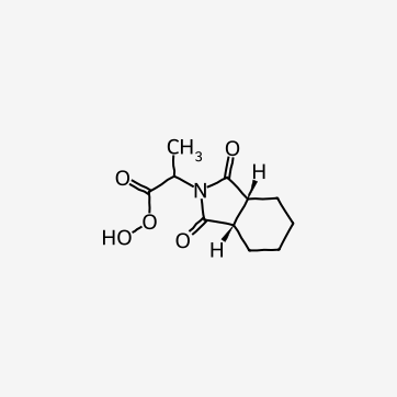 CC(C(=O)OO)N1C(=O)[C@H]2CCCC[C@H]2C1=O